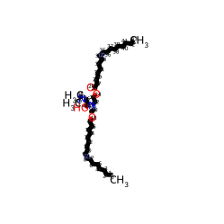 CCCCCCCC/C=C\CCCCCCCCOCCN(CCOC(=O)CCCCCCC/C=C\CCCCCCCC)C(O)CN(C)C